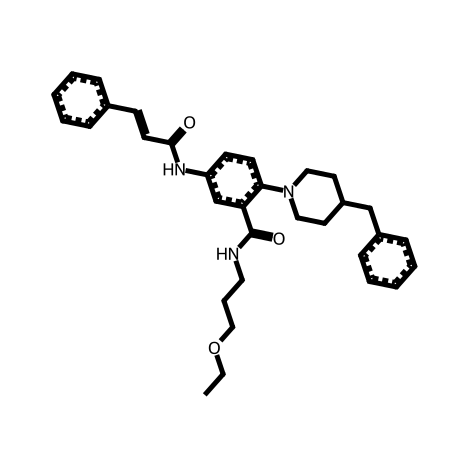 CCOCCCNC(=O)c1cc(NC(=O)C=Cc2ccccc2)ccc1N1CCC(Cc2ccccc2)CC1